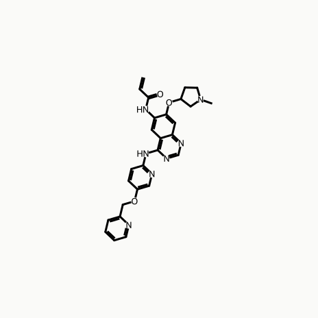 C=CC(=O)Nc1cc2c(Nc3ccc(OCc4ccccn4)cn3)ncnc2cc1OC1CCN(C)C1